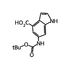 CC(C)(C)OC(=O)Nc1cc(C(=O)O)c2cc[nH]c2c1